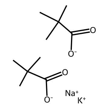 CC(C)(C)C(=O)[O-].CC(C)(C)C(=O)[O-].[K+].[Na+]